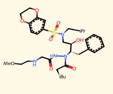 CC[C@H](C)CC(=O)N(NC(=O)CNCCOC)[C@@H](Cc1ccccc1)[C@H](O)CN(CC(C)C)S(=O)(=O)c1ccc2c(c1)OCCO2